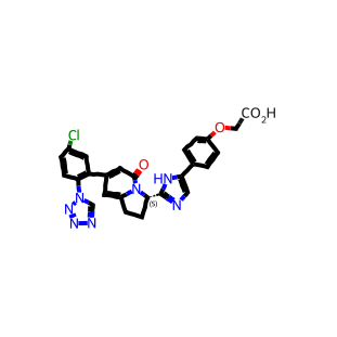 O=C(O)COc1ccc(-c2cnc([C@@H]3CCc4cc(-c5cc(Cl)ccc5-n5cnnn5)cc(=O)n43)[nH]2)cc1